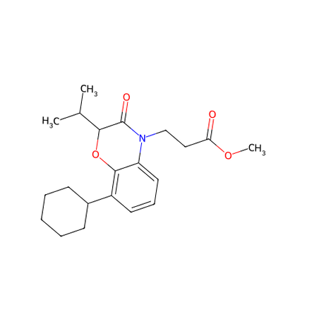 COC(=O)CCN1C(=O)C(C(C)C)Oc2c(C3CCCCC3)cccc21